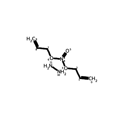 C=CCO[N+](=O)OCC=C.NN